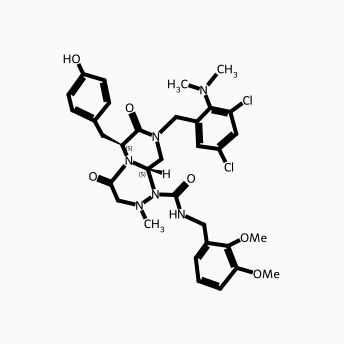 COc1cccc(CNC(=O)N2[C@H]3CN(Cc4cc(Cl)cc(Cl)c4N(C)C)C(=O)[C@H](Cc4ccc(O)cc4)N3C(=O)CN2C)c1OC